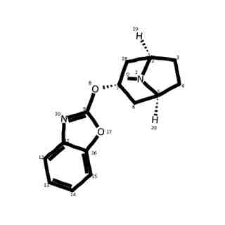 CN1[C@@H]2CC[C@H]1C[C@H](Oc1nc3ccccc3o1)C2